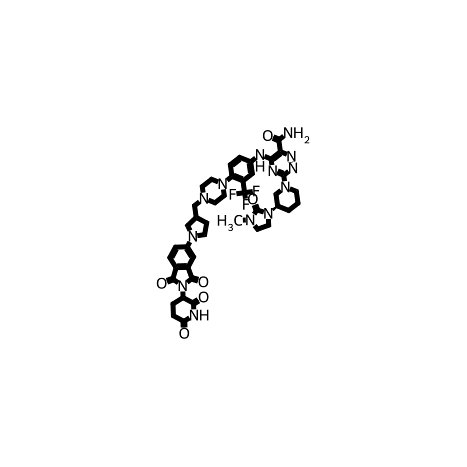 CN1CCN([C@@H]2CCCN(c3nnc(C(N)=O)c(Nc4ccc(N5CCN(CC6CCN(c7ccc8c(c7)C(=O)N(C7CCC(=O)NC7=O)C8=O)C6)CC5)c(C(F)(F)F)c4)n3)C2)C1=O